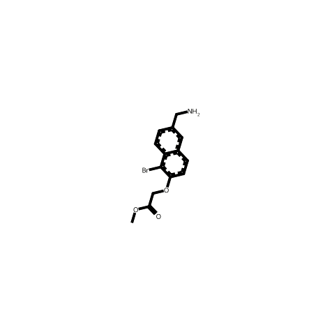 COC(=O)COc1ccc2cc(CN)ccc2c1Br